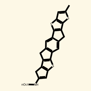 CCCCCCCCNC1=Cc2sc3c(c2C1)Cc1cc2c(cc1-3)Cc1c-2sc2cc(C)sc12